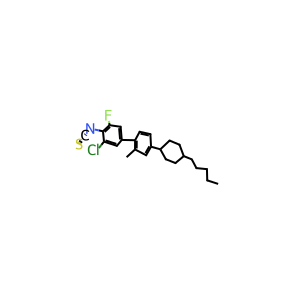 CCCCCC1CCC(c2ccc(-c3cc(F)c(N=C=S)c(Cl)c3)c(C)c2)CC1